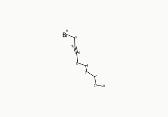 CCCCCCC#CCBr